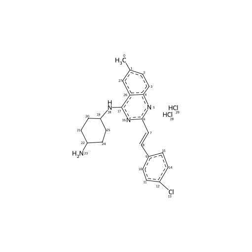 Cc1ccc2nc(C=Cc3ccc(Cl)cc3)nc(NC3CCC(N)CC3)c2c1.Cl.Cl